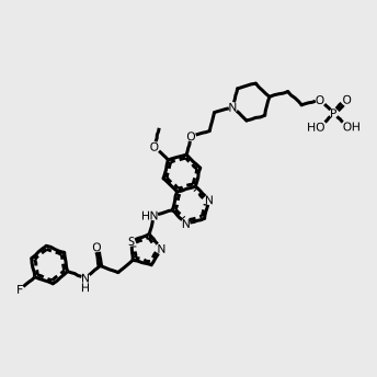 COc1cc2c(Nc3ncc(CC(=O)Nc4cccc(F)c4)s3)ncnc2cc1OCCN1CCC(CCOP(=O)(O)O)CC1